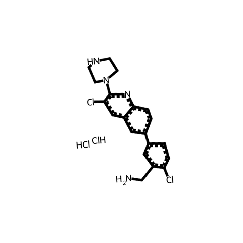 Cl.Cl.NCc1cc(-c2ccc3nc(N4CCNCC4)c(Cl)cc3c2)ccc1Cl